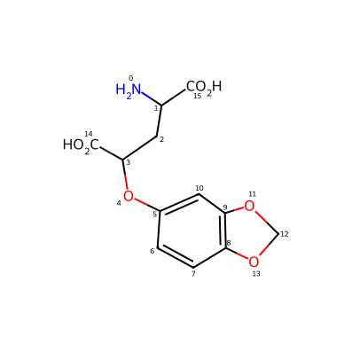 NC(CC(Oc1ccc2c(c1)OCO2)C(=O)O)C(=O)O